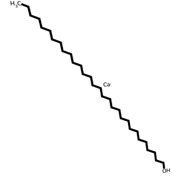 CCCCCCCCCCCCCCCCCCCCCCCCCCCCCCO.[Ca]